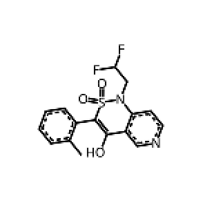 Cc1ccccc1C1=C(O)c2cnccc2N(CC(F)F)S1(=O)=O